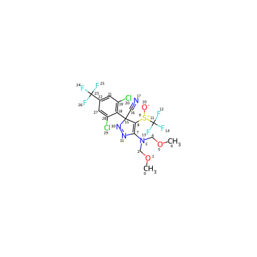 COCN(COC)C1=C([S+]([O-])C(F)(F)F)C(C#N)(c2c(Cl)cc(C(F)(F)F)cc2Cl)N=N1